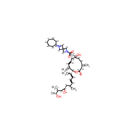 CC[C@H](O)[C@@H](C)[C@H]1O[C@@H]1C[C@H](C)/C=C/C=C(\C)[C@H]1OC(=O)C[C@H](C)CC[C@@](C)(O)[C@@H](OC(=O)N2CC3(C2)CN(C2CCCCCC2)C3)/C=C/[C@@H]1C